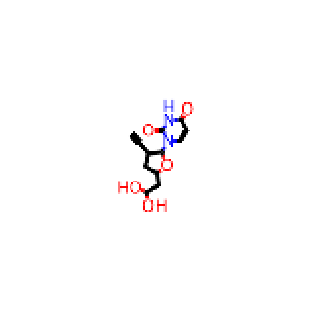 C#CC1CC(CC(O)O)OC1n1ccc(=O)[nH]c1=O